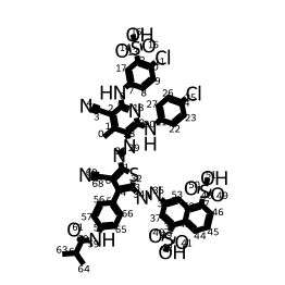 Cc1c(C#N)c(Nc2ccc(Cl)c(S(=O)(=O)O)c2)nc(Nc2ccc(Cl)cc2)c1N=Nc1sc(/N=N/c2cc(S(=O)(=O)O)c3cccc(S(=O)(=O)O)c3c2)c(-c2ccc(NC(=O)C(C)C)cc2)c1C#N